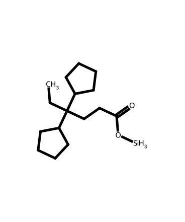 CCC(CCC(=O)O[SiH3])(C1CCCC1)C1CCCC1